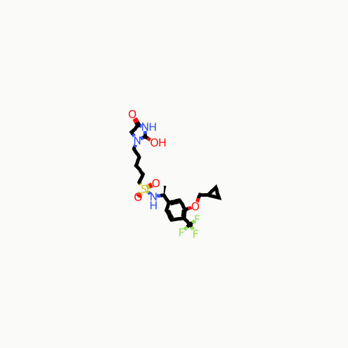 C[C@H](NS(=O)(=O)CCCCCN1CC(=O)NC1O)c1ccc(C(F)(F)F)c(OCC2CC2)c1